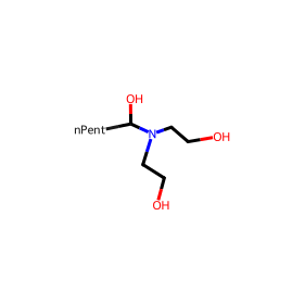 CCCCCC(O)N(CCO)CCO